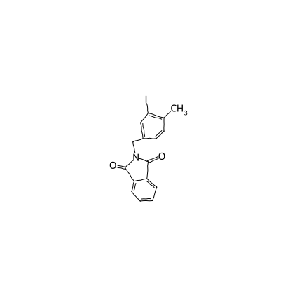 Cc1ccc(CN2C(=O)c3ccccc3C2=O)cc1I